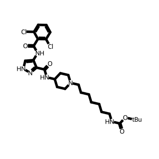 CC(C)(C)OC(=O)NCCCCCCCN1CCC(NC(=O)c2n[nH]cc2NC(=O)c2c(Cl)cccc2Cl)CC1